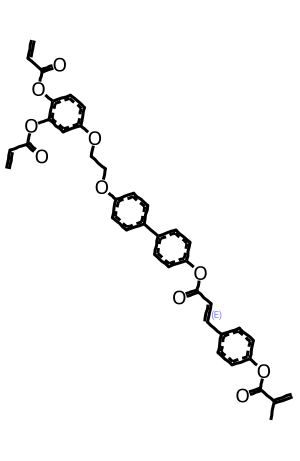 C=CC(=O)Oc1ccc(OCCOc2ccc(-c3ccc(OC(=O)/C=C/c4ccc(OC(=O)C(=C)C)cc4)cc3)cc2)cc1OC(=O)C=C